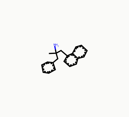 CC(N)([CH]c1cccc2ccccc12)Cc1ccccc1